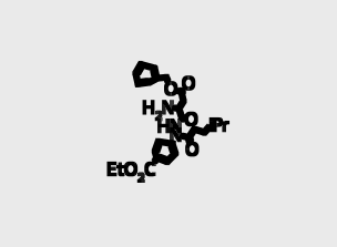 CCOC(=O)c1ccc(N(NC(=O)C(N)CC(=O)OCc2ccccc2)C(=O)CCC(C)C)cc1